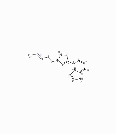 C/C=C/CCn1cc(-c2ccnc3[nH]ccc23)cn1